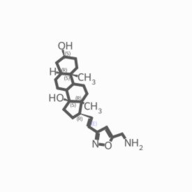 C[C@]12CC[C@H](O)C[C@H]1CCC1C2CC[C@]2(C)[C@@H](/C=C/c3cc(CN)on3)CC[C@]12O